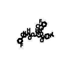 CC(C)N1CCN(C(=O)CC[C@@H](COC(=O)Nc2cc(-c3cccc(F)c3)on2)N(C)C(=O)NCc2cccc(F)c2Cl)CC1